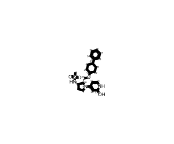 CS(=O)(=O)N[C@H]1CCN(C2=CC(O)NC=C2)[C@H]1COC1CCC(c2ccccc2)CC1